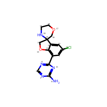 Nc1ncnc(-c2cc(Cl)cc3c2OCC32COCCN2)n1